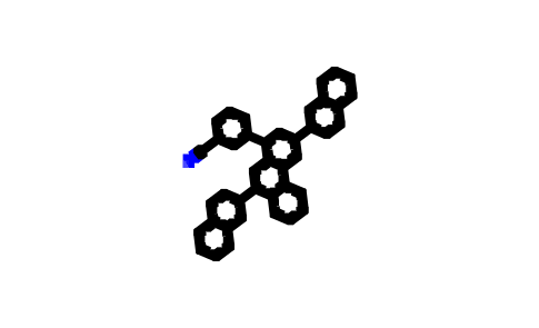 N#Cc1cccc(-c2cc(-c3ccc4ccccc4c3)cc3c2cc(-c2ccc4ccccc4c2)c2ccccc23)c1